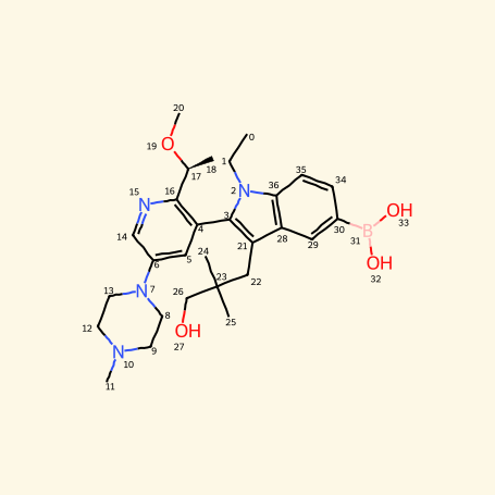 CCn1c(-c2cc(N3CCN(C)CC3)cnc2[C@H](C)OC)c(CC(C)(C)CO)c2cc(B(O)O)ccc21